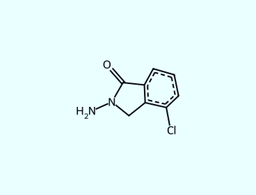 NN1Cc2c(Cl)cccc2C1=O